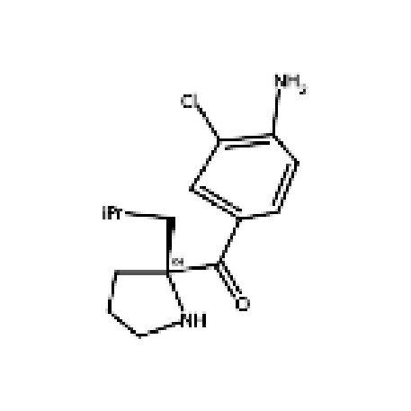 CC(C)C[C@]1(C(=O)c2ccc(N)c(Cl)c2)CCCN1